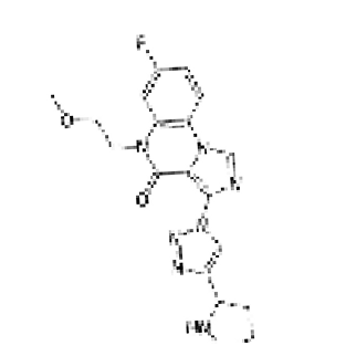 COCCn1c(=O)c2c(-n3cc(C4CCCN4)nn3)ncn2c2ccc(F)cc21